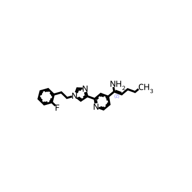 CCC/C=C(\N)c1ccnc(-c2cn(CCc3ccccc3F)cn2)c1